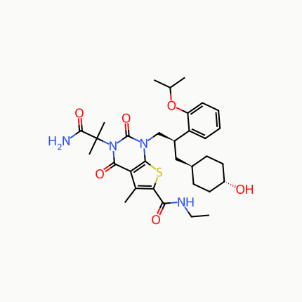 CCNC(=O)c1sc2c(c1C)c(=O)n(C(C)(C)C(N)=O)c(=O)n2C[C@H](C[C@H]1CC[C@H](O)CC1)c1ccccc1OC(C)C